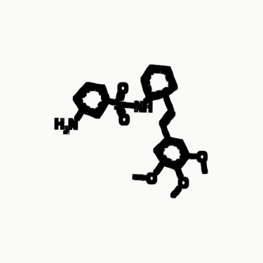 COc1cc(C=Cc2ccccc2NS(=O)(=O)c2cccc(N)c2)cc(OC)c1OC